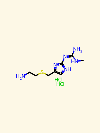 CN/C(N)=N\c1nc(CSCCN)c[nH]1.Cl.Cl